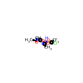 CC#CC(=O)N(C)c1ccc(Oc2ncc(C)cc2NS(=O)(=O)c2ccc(Cl)c(C(F)(F)F)c2)cc1